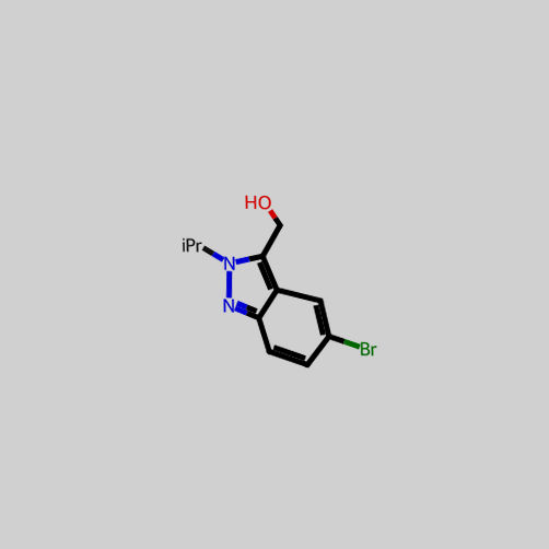 CC(C)n1nc2ccc(Br)cc2c1CO